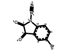 N#[N+]N1C(=O)C(=O)c2cc(Br)ccc21